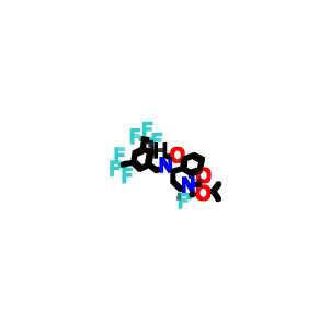 [3H]c1c(CN(C=O)[C@H]2C[C@@H](C)[N+](CF)(C(=O)OC(C)C)c3ccccc32)cc(C(F)(F)F)cc1C(F)(F)F